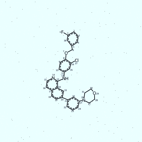 Fc1cccc(COc2ccc(Nc3nccc4ccc(-c5cccc(N6CCOCC6)c5)cc34)cc2Cl)c1